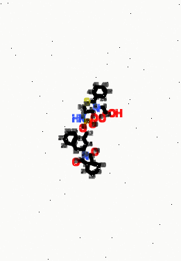 O=C(O)CN1C(=O)C(N[PH](=O)OCCCC(Cc2ccccc2)N2C(=O)c3ccccc3C2=O)CSC1c1ccccc1